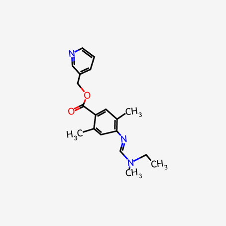 CCN(C)/C=N/c1cc(C)c(C(=O)OCc2cccnc2)cc1C